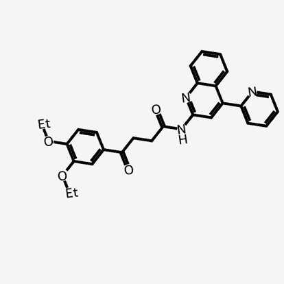 CCOc1ccc(C(=O)CCC(=O)Nc2cc(-c3ccccn3)c3ccccc3n2)cc1OCC